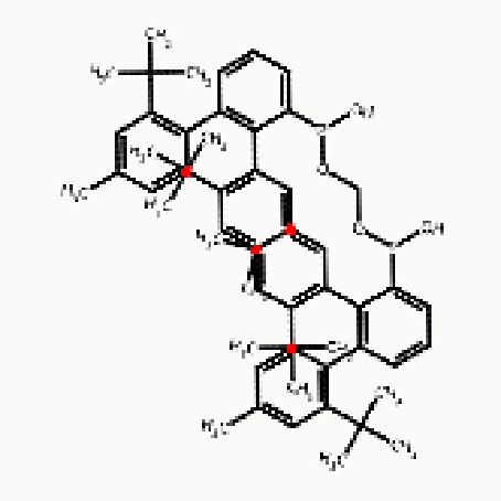 Cc1ccc(-c2cccc(P(O)OCOP(O)c3cccc(-c4ccc(C)cc4C(C)(C)C)c3-c3ccc(C)cc3C(C)(C)C)c2-c2ccc(C)cc2C(C)(C)C)c(C(C)(C)C)c1